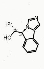 CC(C)[C@@H](O)[C@@H]1c2ccccc2-c2cncn21